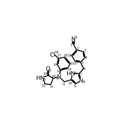 N#Cc1ccc(Cc2ncc(CN(c3cccc(Cl)c3)C3CCNC3=O)[nH]2)cc1